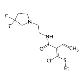 C=C/C(C(=O)NCCN1CCC(F)(F)C1)=C(/Cl)SCC